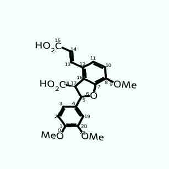 COc1ccc(C2Oc3c(OC)ccc(/C=C/C(=O)O)c3[C@@H]2C(=O)O)cc1OC